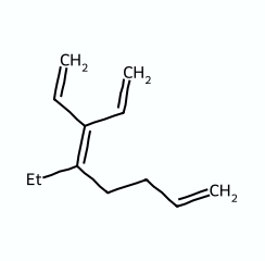 C=CCCC(CC)=C(C=C)C=C